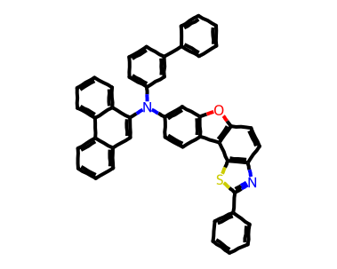 c1ccc(-c2cccc(N(c3ccc4c(c3)oc3ccc5nc(-c6ccccc6)sc5c34)c3cc4ccccc4c4ccccc34)c2)cc1